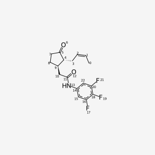 C/C=C\C[C@H]1C(=O)CC[C@@H]1CC(=O)Nc1cc(F)c(F)c(F)c1